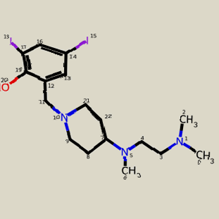 CN(C)CCN(C)C1CCN(Cc2cc(I)cc(I)c2O)CC1